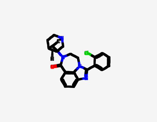 O=C1c2cccc3nc(-c4ccccc4Cl)n(c23)CCN1[C@@H]1CN2CCC1CC2